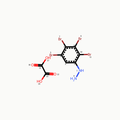 NNc1cc(Br)c(Br)c(Br)c1Br.O=C(O)C(=O)O